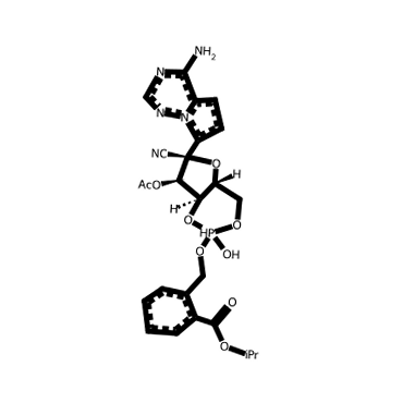 CC(=O)O[C@@H]1[C@@H]2O[PH](O)(OCc3ccccc3C(=O)OC(C)C)OC[C@H]2O[C@@]1(C#N)c1ccc2c(N)ncnn12